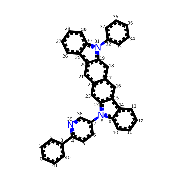 c1ccc(-c2ccc(-n3c4ccccc4c4cc5cc6c(cc5cc43)c3ccccc3n6-c3ccccc3)cn2)cc1